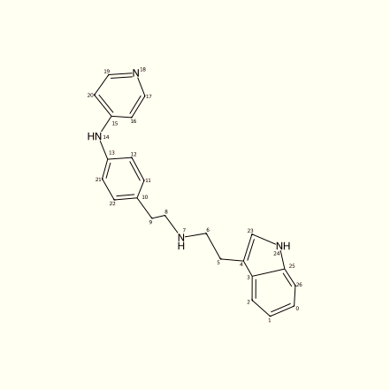 c1ccc2c(CCNCCc3ccc(Nc4ccncc4)cc3)c[nH]c2c1